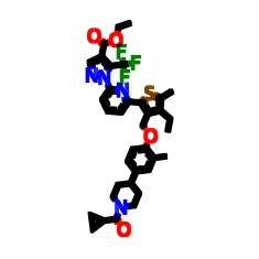 CCOC(=O)c1cnn(-c2cccc(-c3sc(C)c(CC)c3COc3ccc(C4CCN(C(=O)C5CC5)CC4)cc3C)n2)c1C(F)(F)F